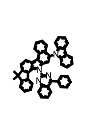 CC1(C)c2ccccc2-c2c1ccc1c3c4ccccc4c(-n4c5ccccc5c5ccccc54)cc3n(-c3nc(-c4ccccc4)c4ccccc4n3)c21